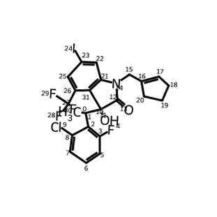 CC(c1c(F)cccc1Cl)[C@]1(O)C(=O)N(CC2=CCCC2)c2cc(I)cc(C(F)(F)F)c21